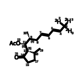 [2H]C([2H])([2H])C=CC=CC[C@@H](C)[C@@H](OC(C)=O)[C@H]1C(=O)CCC1C